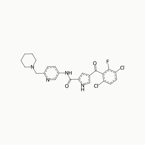 O=C(Nc1ccc(CN2CCCCC2)nc1)c1cc(C(=O)c2c(Cl)ccc(Cl)c2F)c[nH]1